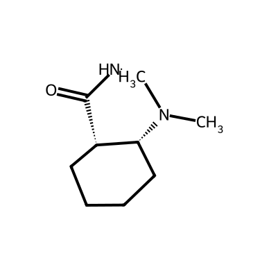 CN(C)[C@@H]1CCCC[C@@H]1C([NH])=O